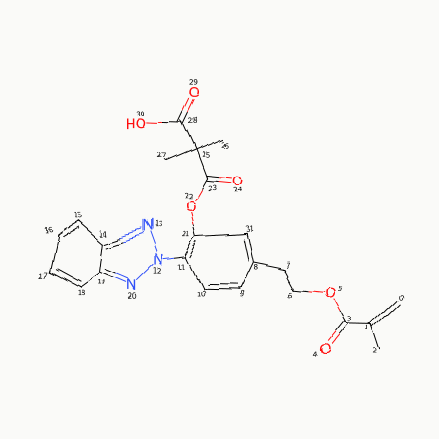 C=C(C)C(=O)OCCc1ccc(-n2nc3ccccc3n2)c(OC(=O)C(C)(C)C(=O)O)c1